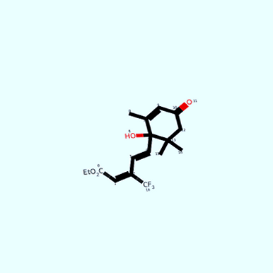 CCOC(=O)/C=C(\C=C\C1(O)C(C)=CC(=O)CC1(C)C)C(F)(F)F